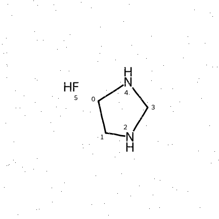 C1CNCN1.F